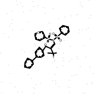 CC(C)(F)C(=CN(S(=O)(=O)c1ccccc1)S(=O)(=O)c1ccccc1)C(=O)c1ccc(-c2ccccc2)cc1